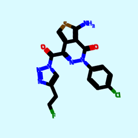 Nc1scc2c(C(=O)n3cc(CCF)nn3)nn(-c3ccc(Cl)cc3)c(=O)c12